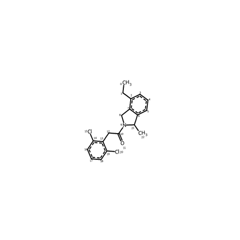 CCc1cccc2c1CN(C(=O)Cc1c(Cl)cccc1Cl)C2C